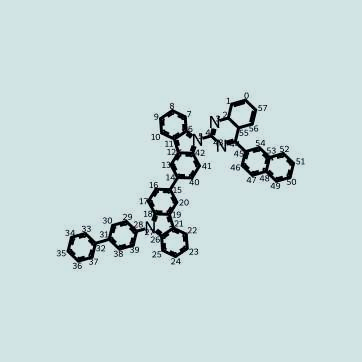 C1=CC2N=C(n3c4ccccc4c4cc(-c5ccc6c(c5)c5ccccc5n6-c5ccc(-c6ccccc6)cc5)ccc43)N=C(c3ccc4ccccc4c3)C2C=C1